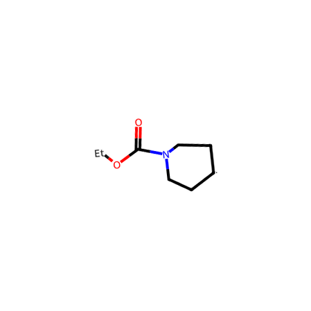 CCOC(=O)N1CC[CH]CC1